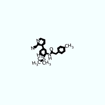 Cc1ccc(CC(=O)Nc2cc(-c3cccnc3C#N)ccc2SC(C)(C)C)cc1